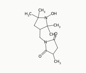 CC1CC(=O)N(CC2CC(C)(C)N(O)C2(C)C)C1=O